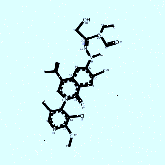 C=C(C)c1cn(-c2c(C)cnc(OC)c2Cl)c(=O)c2cc(F)c(N(C)/N=C(/CO)N(C=O)CC)cc12